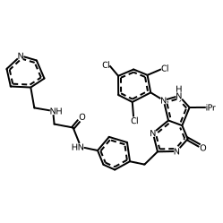 CC(C)c1[nH]n(-c2c(Cl)cc(Cl)cc2Cl)c2nc(Cc3ccc(NC(=O)CNCc4ccncc4)cc3)nc(=O)c1-2